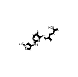 C=C(O)CCC(=C)COc1nc(Nc2cnn(C(C)C)c2)ncc1F